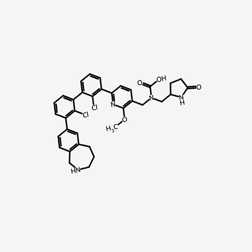 COc1nc(-c2cccc(-c3cccc(-c4ccc5c(c4)CCCNC5)c3Cl)c2Cl)ccc1CN(CC1CCC(=O)N1)C(=O)O